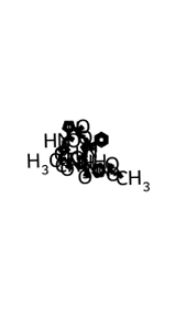 CCOC(=O)N1CCN(C(=O)C(CNC(=O)OC(C)(C)C)NC(=O)c2cc(OCC(=O)N3CCCC3C(=O)NC3CCC3)n(-c3ccccc3)n2)CC1